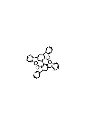 c1ccc2c(c1)oc1c(-c3c4oc5ccccc5c4cc4c3oc3ccccc34)c3oc4ccccc4c3cc12